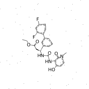 CCOC(=O)C[C@H](NC(=O)Nc1c(O)ccn(C)c1=O)c1cccc(-c2ccc(F)cc2F)c1